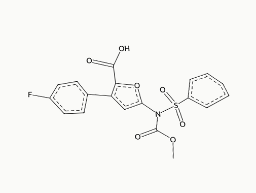 COC(=O)N(c1cc(-c2ccc(F)cc2)c(C(=O)O)o1)S(=O)(=O)c1ccccc1